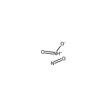 O=[NH+][O-].[N]=O